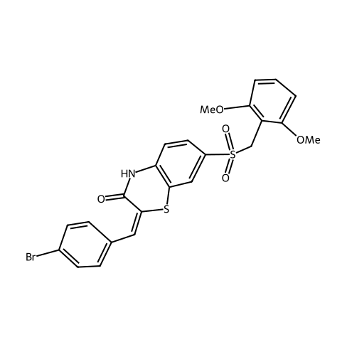 COc1cccc(OC)c1CS(=O)(=O)c1ccc2c(c1)SC(=Cc1ccc(Br)cc1)C(=O)N2